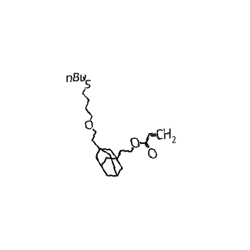 C=CC(=O)OCCC12CC3CC(CC(CCOCCCCSCCCC)(C3)C1)C2